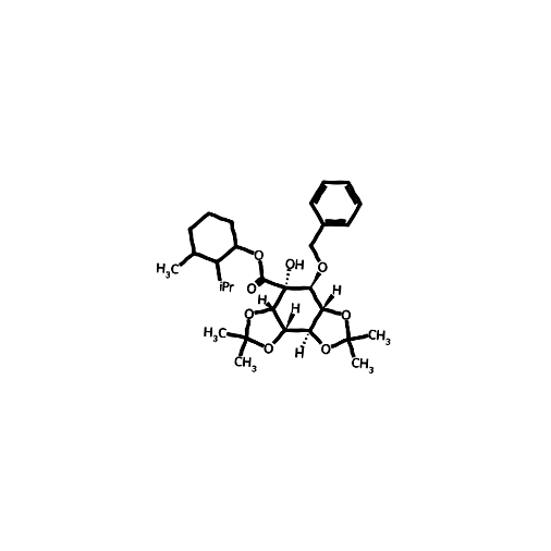 CC(C)C1C(C)CCCC1OC(=O)[C@@]1(O)[C@@H](OCc2ccccc2)[C@@H]2OC(C)(C)O[C@H]2[C@@H]2OC(C)(C)O[C@@H]21